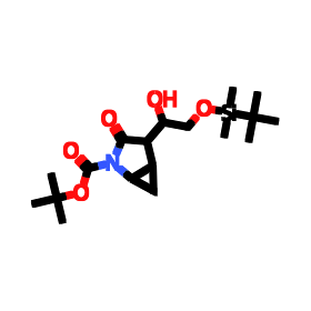 CC(C)(C)OC(=O)N1C(=O)C(C(O)CO[Si](C)(C)C(C)(C)C)C2CC21